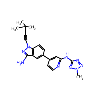 Cn1nnc(Nc2cc(-c3ccc4c(c3)c(N)nn4C#CC(C)(C)C)ccn2)n1